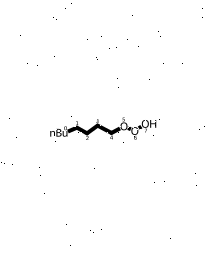 CCCCCCCCOOO